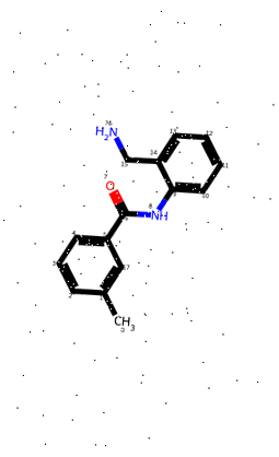 Cc1cccc(C(=O)Nc2ccccc2CN)c1